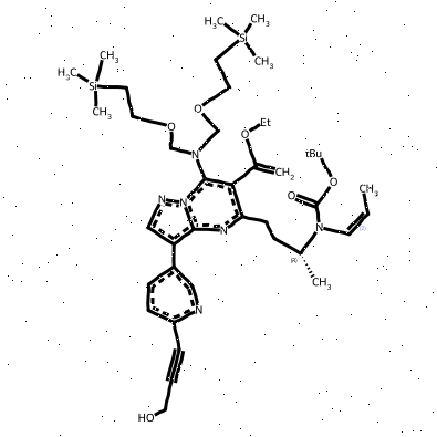 C=C(OCC)c1c(CC[C@@H](C)N(/C=C\C)C(=O)OC(C)(C)C)nc2c(-c3ccc(C#CCO)nc3)cnn2c1N(COCC[Si](C)(C)C)COCC[Si](C)(C)C